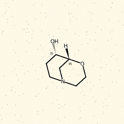 O[C@H]1CCN2CCO[C@@H]1C2